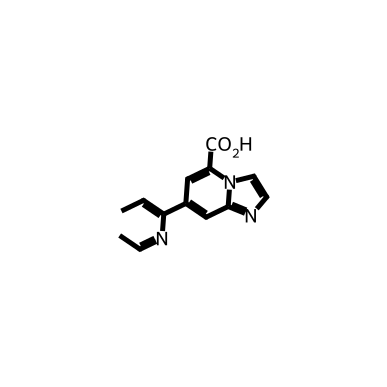 C/C=N\C(=C/C)c1cc(C(=O)O)n2ccnc2c1